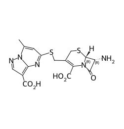 Cc1cc(SCC2=C(C(=O)O)N3C(=O)[C@@H](N)[C@H]3SC2)nc2c(C(=O)O)cnn12